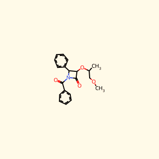 COCC(C)OC1C(=O)N(C(=O)c2ccccc2)C1c1ccccc1